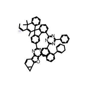 C/C=C\C1=C(C)C2(c3ccc(-c4nc(-c5cccc(C6=CCCC=C6)c5)c5oc6c(c5n4)C=CC4CC64)cc3-c3c(-c4nc(-c5ccccc5)nc(-c5ccccc5)n4)cccc32)c2ccccc2C1(C)C